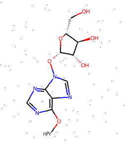 CCCOc1ncnc2c1ncn2O[C@@H]1O[C@H](CO)[C@@H](O)[C@@H]1O